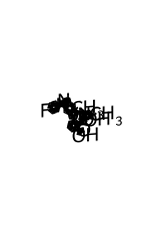 C[C@@H](O)CN(C[C@H]1CCC2=Cc3c(cnn3-c3ccc(F)cc3)C[C@@]21C)S(=O)(=O)Cc1ccccc1C(=O)O